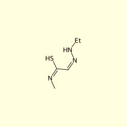 CCN/N=C\C(S)=N/C